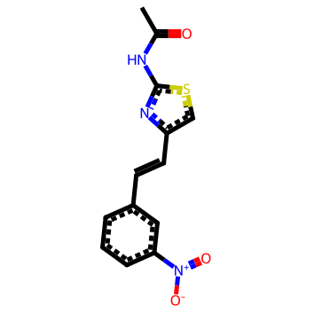 CC(=O)Nc1nc(C=Cc2cccc([N+](=O)[O-])c2)cs1